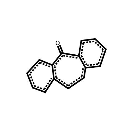 O=c1c2ccc[c]c2ccc2ccccc12